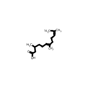 CC(C)=CCCC(C)=CCCC(C)CC(=O)O